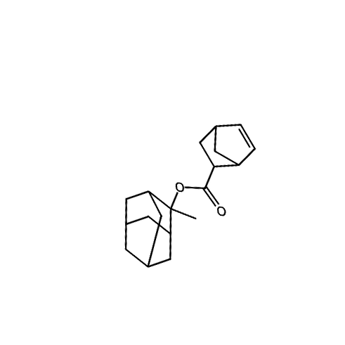 CC1(OC(=O)C2CC3C=CC2C3)C2CC3CC(C2)CC1C3